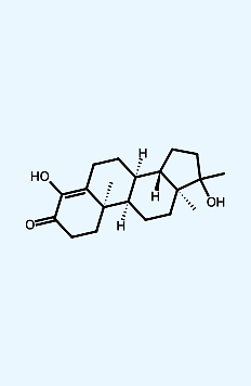 CC1(O)CC[C@H]2[C@@H]3CCC4=C(O)C(=O)CC[C@]4(C)[C@@H]3CC[C@@]21C